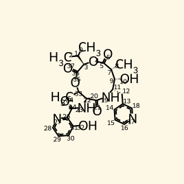 CC(C)[C@H]1OC(=O)[C@H](C)[C@H](O)[C@H](Cc2cccnc2)NC(=O)[C@@H](NC(=O)c2ncccc2O)[C@@H](C)OC1=O